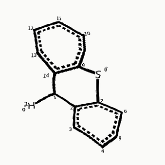 [2H]C1c2ccccc2Sc2ccccc21